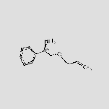 C=CCOC[C@H](N)c1ccccc1